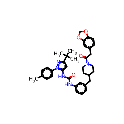 Cc1ccc(-n2nc(C(C)(C)C)cc2NC(=O)Nc2cccc(CC3CCN(C(=O)Cc4ccc5c(c4)OCO5)CC3)c2)cc1